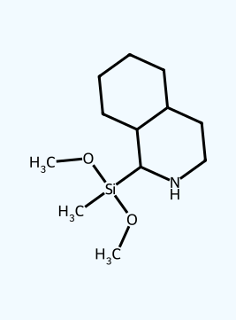 CO[Si](C)(OC)C1NCCC2CCCCC21